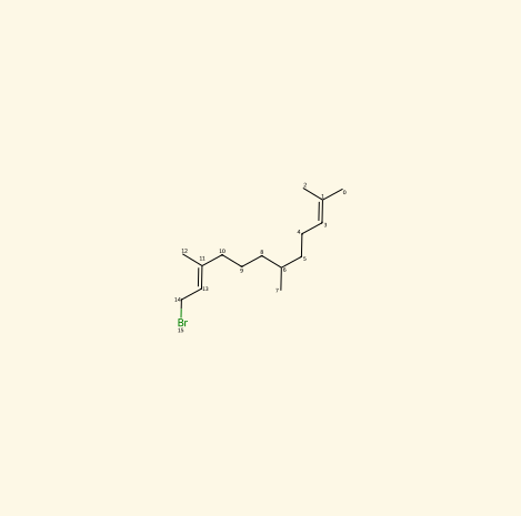 CC(C)=CCCC(C)CCCC(C)=CCBr